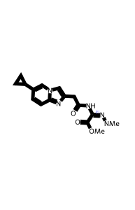 CN/N=C(/NC(=O)Cc1cn2cc(C3CC3)ccc2n1)C(=O)OC